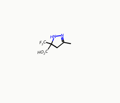 CC1=NNC(C(=O)O)(C(F)(F)F)C1